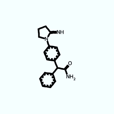 N=C1CCCN1c1ccc(C(C(N)=O)c2ccccc2)cc1